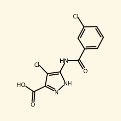 O=C(Nc1[nH]nc(C(=O)O)c1Cl)c1cccc(Cl)c1